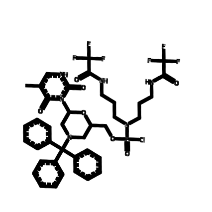 Cc1c[nH]c(=O)n(C2CN(C(c3ccccc3)(c3ccccc3)c3ccccc3)CC(COP(=O)(Cl)N(CCCNC(=O)C(F)(F)F)CCCNC(=O)C(F)(F)F)O2)c1=O